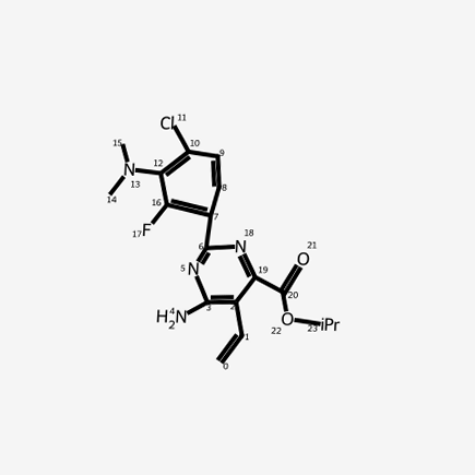 C=Cc1c(N)nc(-c2ccc(Cl)c(N(C)C)c2F)nc1C(=O)OC(C)C